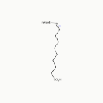 CCCCCCC/C=C\CCCCCCCC(=O)O